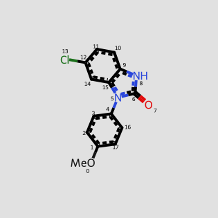 COc1ccc(-n2c(=O)[nH]c3ccc(Cl)cc32)cc1